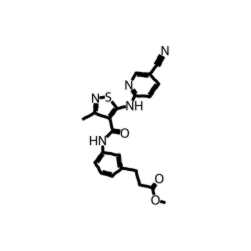 COC(=O)CCc1cccc(NC(=O)c2c(C)nsc2Nc2ccc(C#N)cn2)c1